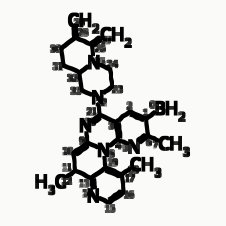 Bc1cc2c(nc1C)N1C(=CC(C)c3nccc(C)c31)N=C2N1CCN2C(=C)C(=C)CCC2C1